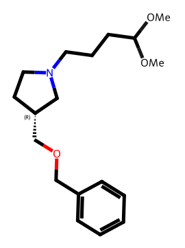 COC(CCCN1CC[C@@H](COCc2ccccc2)C1)OC